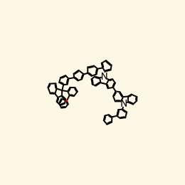 c1ccc(-c2cccc(-n3c4ccccc4c4cc(-c5ccc6c(c5)c5ccccc5n6-c5ccccc5-c5ccc(-c6ccc(-c7cccc(C8(c9ccccc9-c9ccccc9)c9ccccc9-c9ccccc98)c7)cc6)cc5)ccc43)c2)cc1